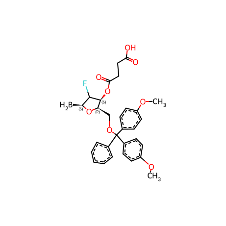 B[C@@H]1O[C@H](COC(c2ccccc2)(c2ccc(OC)cc2)c2ccc(OC)cc2)[C@H](OC(=O)CCC(=O)O)C1F